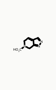 O=C(O)N1CC=C2C=NN=C2C1